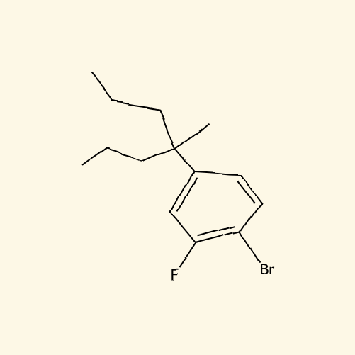 CCCC(C)(CCC)c1ccc(Br)c(F)c1